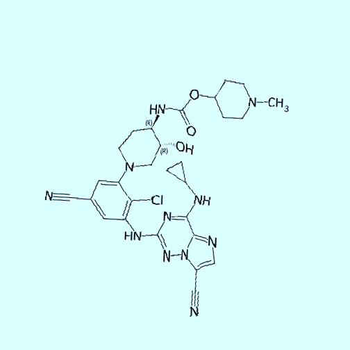 CN1CCC(OC(=O)N[C@@H]2CCN(c3cc(C#N)cc(Nc4nc(NC5CC5)c5ncc(C#N)n5n4)c3Cl)C[C@H]2O)CC1